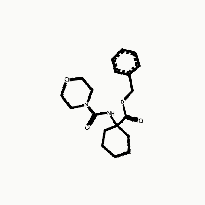 O=C(NC1(C(=O)OCc2ccccc2)CCCCC1)N1CCOCC1